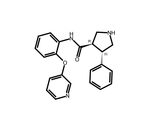 O=C(Nc1ccccc1Oc1cccnc1)[C@H]1CNC[C@@H]1c1ccccc1